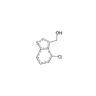 OCc1csc2cccc(Cl)c12